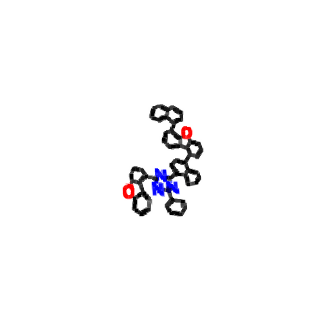 c1ccc(-c2nc(-c3ccc(-c4cccc5oc6c(-c7cccc8ccccc78)cccc6c45)c4ccccc34)nc(-c3cccc4oc5ccccc5c34)n2)cc1